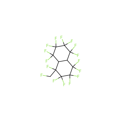 FCC1(F)C2C(C(F)(F)C(F)(F)C(F)(F)C2(F)F)C(F)(F)C(F)(F)C1(F)F